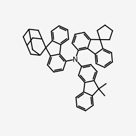 CC1(C)c2ccccc2-c2cc(N(c3cccc4c3-c3ccccc3C43CCCC3)c3cccc4c3-c3ccccc3C43C4CC5CC(C4)CC3C5)ccc21